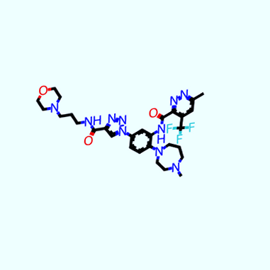 Cc1cc(C(F)(F)F)c(C(=O)Nc2cc(-n3cc(C(=O)NCCCN4CCOCC4)nn3)ccc2N2CCCN(C)CC2)nn1